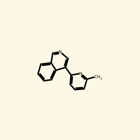 Cc1cccc(-c2cncc3ccccc23)n1